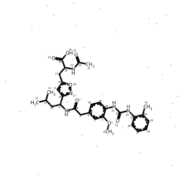 COc1cc(CC(=O)NC(CC(C)C)c2cc(CC(NC(C)=O)C(=O)O)on2)ccc1NC(=O)Nc1ccccc1C